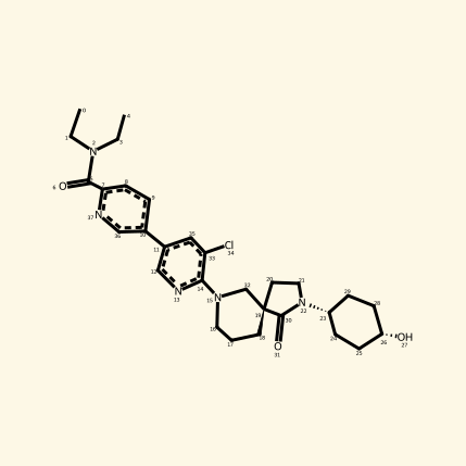 CCN(CC)C(=O)c1ccc(-c2cnc(N3CCC[C@]4(CCN([C@H]5CC[C@@H](O)CC5)C4=O)C3)c(Cl)c2)cn1